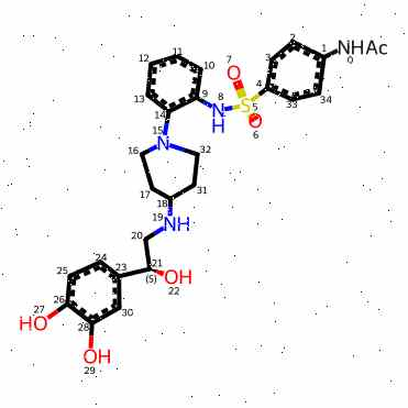 CC(=O)Nc1ccc(S(=O)(=O)Nc2ccccc2N2CCC(NC[C@@H](O)c3ccc(O)c(O)c3)CC2)cc1